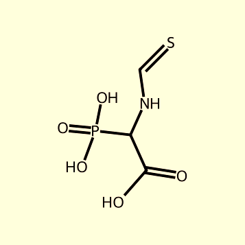 O=C(O)C(NC=S)P(=O)(O)O